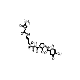 NC1CN(C(=O)NC=CCS(=O)(=O)NNC(=O)N2CCN(NC(=O)c3cc(=O)c(O)c[nH]3)C2=O)C1=O